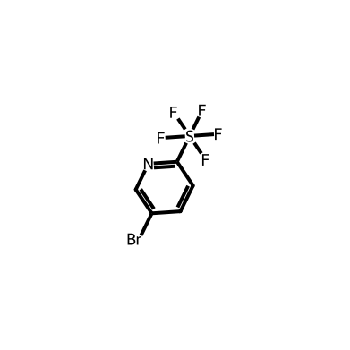 FS(F)(F)(F)(F)c1ccc(Br)cn1